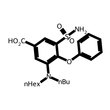 CCCCCCN(CCCC)c1cc(C(=O)O)cc(S(N)(=O)=O)c1Oc1ccccc1